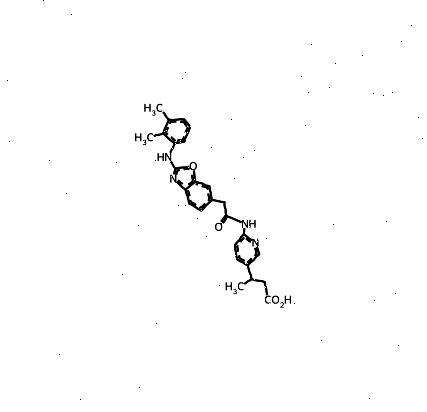 Cc1cccc(Nc2nc3ccc(CC(=O)Nc4ccc(C(C)CC(=O)O)cn4)cc3o2)c1C